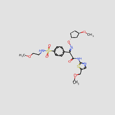 COCCNS(=O)(=O)c1ccc(/C(=N\O[C@@H]2CC[C@@H](OC)C2)C(=O)Nc2ncc(COC)s2)cc1